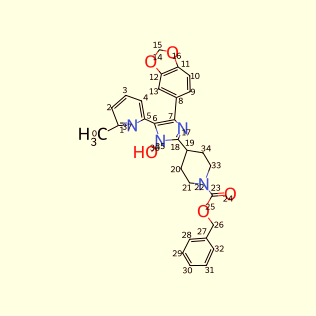 Cc1cccc(-c2c(-c3ccc4c(c3)OCO4)nc(C3CCN(C(=O)OCc4ccccc4)CC3)n2O)n1